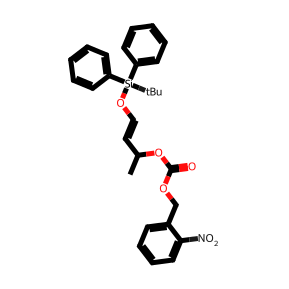 CC(C=CO[Si](c1ccccc1)(c1ccccc1)C(C)(C)C)OC(=O)OCc1ccccc1[N+](=O)[O-]